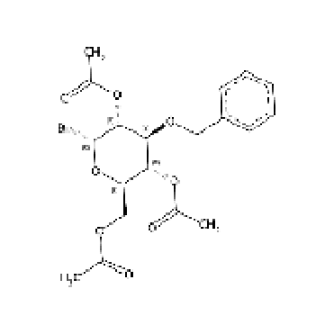 CC(=O)OC[C@H]1O[C@H](Br)[C@H](OC(C)=O)[C@@H](OCc2ccccc2)[C@@H]1OC(C)=O